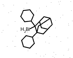 [BiH2][C]1(C2CCCCC2)C2CC3CC(C2)CC1(C1CCCCC1)C3